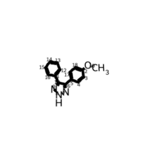 COc1ccc(-c2n[nH]nc2-c2ccccc2)cc1